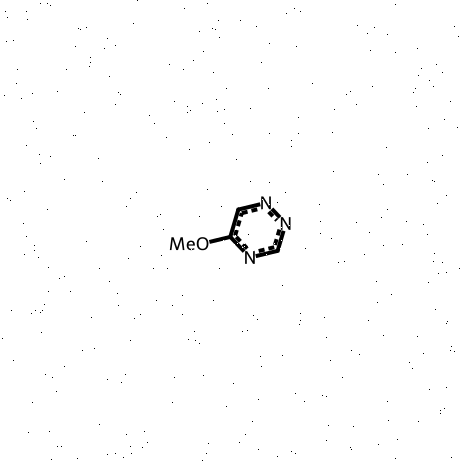 COc1cnncn1